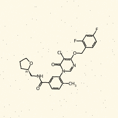 Cc1ccc(C(=O)NC[C@H]2CCCO2)cc1-n1cnc(OCc2ccc(F)cc2F)c(Cl)c1=O